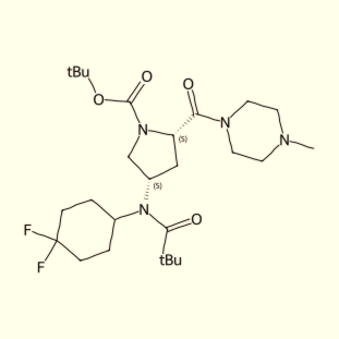 CN1CCN(C(=O)[C@@H]2C[C@H](N(C(=O)C(C)(C)C)C3CCC(F)(F)CC3)CN2C(=O)OC(C)(C)C)CC1